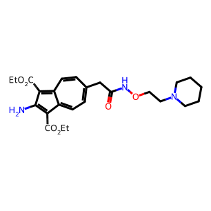 CCOC(=O)c1c2ccc(CC(=O)NOCCN3CCCCC3)ccc-2c(C(=O)OCC)c1N